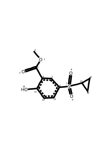 COC(=O)c1cc(S(=O)(=O)C2CC2)ccc1O